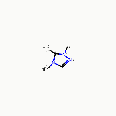 CCCN1C=NN(C)C1C(F)(F)F